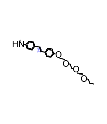 CCCOCCOCCOCCOc1ccc(/C=C/c2ccc(NC)cc2)cc1